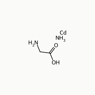 N.NCC(=O)O.[Cd]